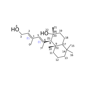 CC(=C\CO)/C=C(\C)[C@@H]1[C@@]2(C)CCCC(C)(C)C2CC[C@@]1(C)O